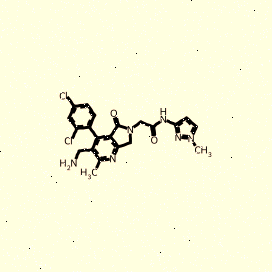 Cc1nc2c(c(-c3ccc(Cl)cc3Cl)c1CN)C(=O)N(CC(=O)Nc1ccn(C)n1)C2